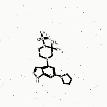 CC1(C)CN(c2cc(N3CCCC3)cc3[nH]ncc23)CCN1S(C)(=O)=O